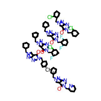 Cc1ccc(Cn2cnc3nn(Cc4ccccc4)cc3c2=O)cc1.O=c1c2cn(Cc3ccccc3)nc2ncn1Cc1c(F)cccc1Cl.O=c1c2cn(Cc3ccccc3)nc2ncn1Cc1c(F)cccc1F.O=c1c2cn(Cc3ccccc3)nc2ncn1Cc1ccccn1.O=c1c2cn(Cc3ccccc3Cl)nc2ncn1Cc1ccccc1Cl